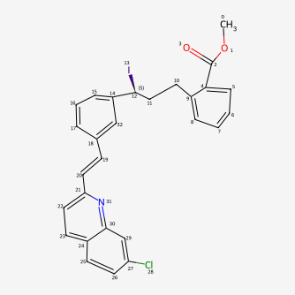 COC(=O)c1ccccc1CC[C@H](I)c1cccc(C=Cc2ccc3ccc(Cl)cc3n2)c1